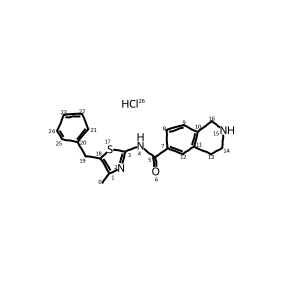 Cc1nc(NC(=O)c2ccc3c(c2)CCNC3)sc1Cc1ccccc1.Cl